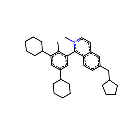 Cc1c(-c2c3ccc(CC4CCCC4)cc3cc[n+]2C)cc(C2CCCCC2)cc1C1CCCCC1